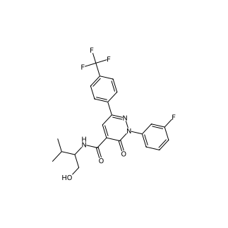 CC(C)C(CO)NC(=O)c1cc(-c2ccc(C(F)(F)F)cc2)nn(-c2cccc(F)c2)c1=O